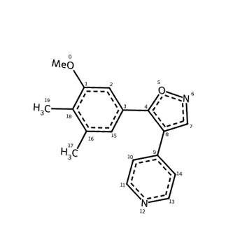 COc1cc(-c2oncc2-c2ccncc2)cc(C)c1C